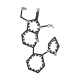 Cn1c(=O)n(CC(C)(C)C)c2ccc(-c3ccccc3-n3cccn3)nc21